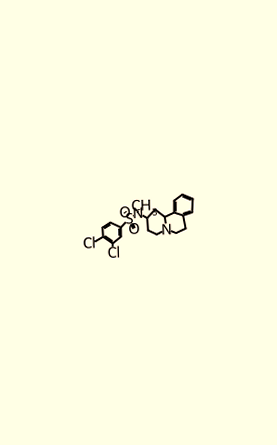 CN(C1CCN2CCc3ccccc3C2C1)S(=O)(=O)c1ccc(Cl)c(Cl)c1